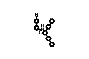 N#Cc1ccc(-c2cccc(C3Nc4c(cc(-c5ccc(-c6ccccc6)cc5)cc4-c4ccc(-c5ccccc5)cc4)O3)c2)cc1